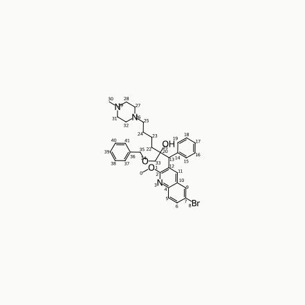 COc1nc2ccc(Br)cc2cc1C(c1ccccc1)C(O)(CCCCN1CCN(C)CC1)COCc1ccccc1